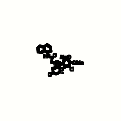 COc1cc(OC)c2c(c1Cl)O[C@]1(C2=O)C(NCC(=O)Nc2cccc3ccccc23)=CC(=O)C[C@H]1C